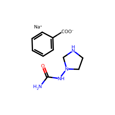 NC(=O)NN1CCNC1.O=C([O-])c1ccccc1.[Na+]